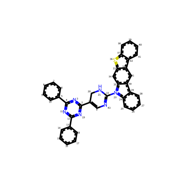 C1=C(c2nc(-c3ccccc3)nc(-c3ccccc3)n2)CNC(n2c3ccccc3c3cc4c(cc32)sc2ccccc24)=N1